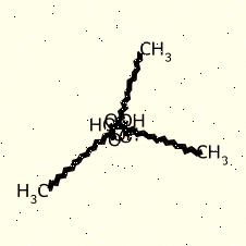 CCCCCCCCC=CCCCCCCCC(=O)C(O)C(O)(C(=O)CCCCCCCCCCCCCCC)C(O)C(=O)CCCCCCCCCCCCCCC